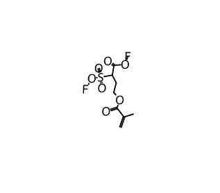 C=C(C)C(=O)OCCC(C(=O)OF)S(=O)(=O)OF